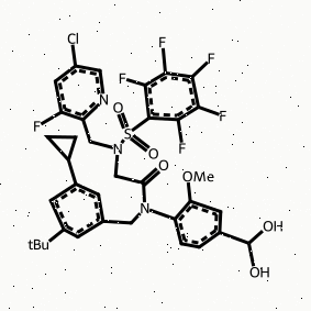 COc1cc(C(O)O)ccc1N(Cc1cc(C2CC2)cc(C(C)(C)C)c1)C(=O)CN(Cc1ncc(Cl)cc1F)S(=O)(=O)c1c(F)c(F)c(F)c(F)c1F